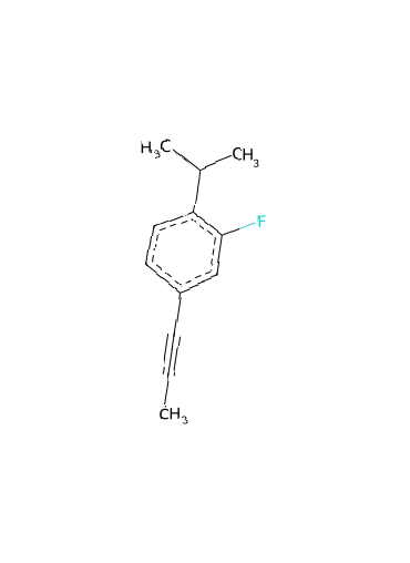 CC#Cc1ccc(C(C)C)c(F)c1